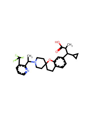 CC(C(=O)O)C(c1ccc2c(c1)OC1(CC2)CCN(C(C)c2ncccc2C(F)(F)F)CC1)C1CC1